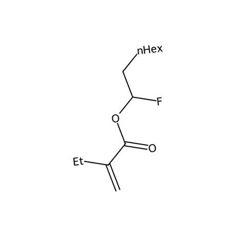 C=C(CC)C(=O)OC(F)CCCCCCC